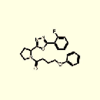 O=C(CCCOc1ccccc1)N1CCCC1c1nnc(-c2ccccc2F)o1